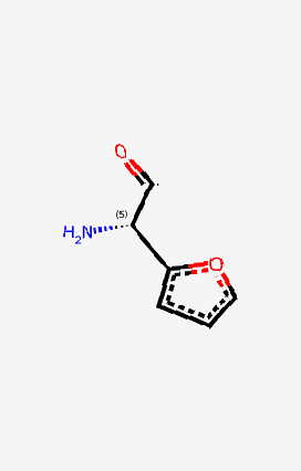 N[C@H]([C]=O)c1ccco1